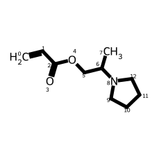 C=CC(=O)OCC(C)N1CCCC1